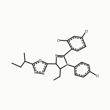 CCC(C)c1nnc(C2N=C(c3ccc(Cl)cc3Cl)N(c3ccc(Cl)cc3)C2CC)o1